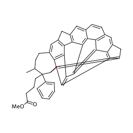 COC(=O)CCCC1(c2ccccc2)C(C)CCc2cc3c4c5c2C2c6c7c8c(cc9ccc%10cc(c4c4c%10c9c8c4c65)C3)CC7=CC21